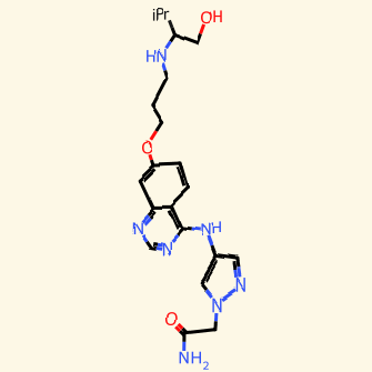 CC(C)C(CO)NCCCOc1ccc2c(Nc3cnn(CC(N)=O)c3)ncnc2c1